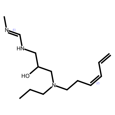 C=C/C=C\CCN(CCC)CC(O)CN/C=N/C